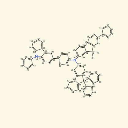 CC1(C)c2cc(-c3ccccc3)ccc2-c2ccc(N(c3ccc(-c4ccc5c(c4)c4ccccc4n5-c4ccccc4)cc3)c3ccc4c(c3)-c3ccccc3C4(c3ccccc3)c3ccccc3)cc21